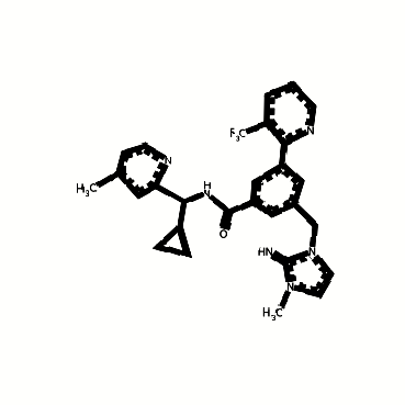 Cc1ccnc(C(NC(=O)c2cc(Cn3ccn(C)c3=N)cc(-c3ncccc3C(F)(F)F)c2)C2CC2)c1